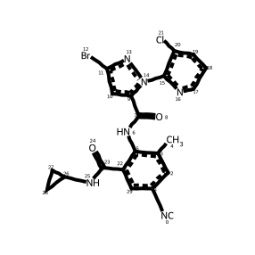 [C-]#[N+]c1cc(C)c(NC(=O)c2cc(Br)nn2-c2ncccc2Cl)c(C(=O)NC2CC2)c1